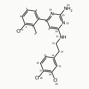 Cc1c(Cl)cccc1-c1cc(NCCc2ccc(Cl)c(Cl)c2)nc(N)n1